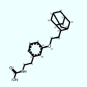 O=C(O)NCCc1cccc(OCCC2C3CC4CC(C3)CC2C4)c1